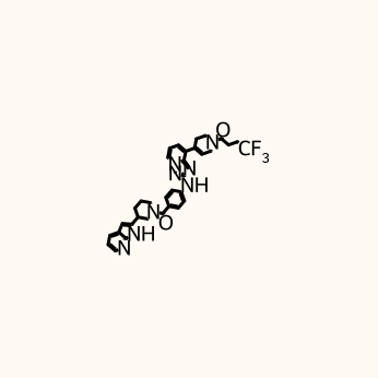 O=C(CCC(F)(F)F)N1CC=C(c2cccn3nc(Nc4ccc(C(=O)N5CCCC(c6cc7cccnc7[nH]6)C5)cc4)nc23)CC1